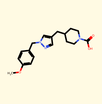 COc1ccc(Cn2cc(CC3CCN(C(=O)O)CC3)cn2)cc1